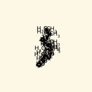 CC[C@H](C)[C@@H]([C@@H](CC(=O)N1CCC[C@H]1[C@H](OC)[C@@H](C)C(=O)N[C@@H](Cc1ccccc1)C(=O)O)OC)N(C)C(=O)[C@@H](NC(=O)[C@@H]1[C@H]2CC[C@@H](C2)N1C(=O)CCN(C)C(=O)OC(C)(C)C)C(C)C